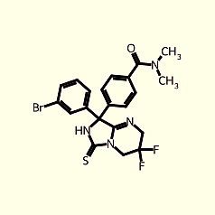 CN(C)C(=O)c1ccc(C2(c3cccc(Br)c3)NC(=S)N3CC(F)(F)CN=C32)cc1